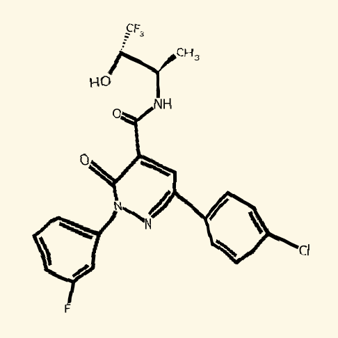 C[C@@H](NC(=O)c1cc(-c2ccc(Cl)cc2)nn(-c2cccc(F)c2)c1=O)[C@H](O)C(F)(F)F